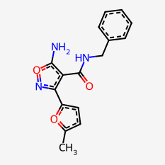 Cc1ccc(-c2noc(N)c2C(=O)NCc2ccccc2)o1